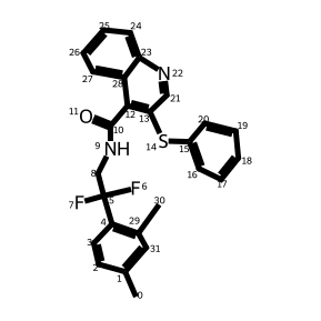 Cc1ccc(C(F)(F)CNC(=O)c2c(Sc3ccccc3)cnc3ccccc23)c(C)c1